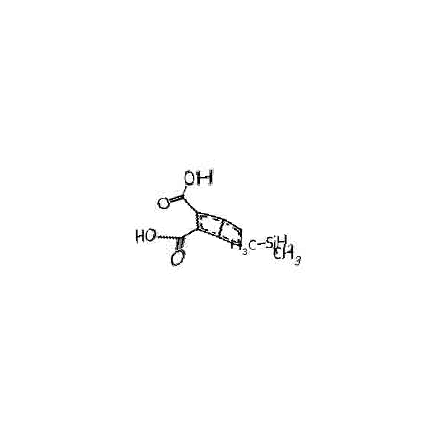 C[SiH2]C.O=C(O)c1c2ccc-2c1C(=O)O